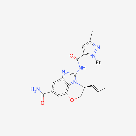 C/C=C/[C@H]1COc2cc(C(N)=O)cc3nc(NC(=O)c4cc(C)nn4CC)n1c23